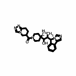 CC(C1c2ccccc2-c2cncn21)C(O)C1(C)CCN(C(=O)C2CCc3nncn3C2)CC1